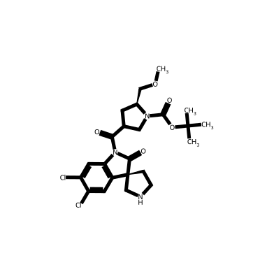 COC[C@@H]1CC(C(=O)N2C(=O)[C@@]3(CCNC3)c3cc(Cl)c(Cl)cc32)CN1C(=O)OC(C)(C)C